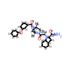 CC(C)(C)[C@@H](C(=O)N1C[C@@H]2C[C@H]1CN2C(=O)c1cccc(Oc2ccccc2)c1)n1c(C(N)=O)cc2ccccc21